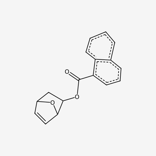 O=C(OC1CC2C=CC1O2)c1cccc2ccccc12